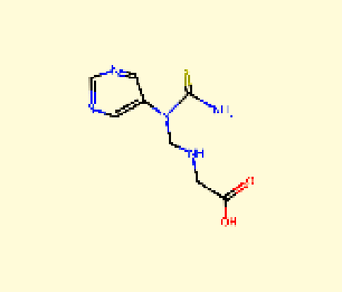 NC(=S)N(CNCC(=O)O)c1cncnc1